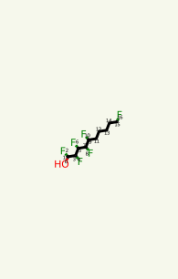 OC(F)C(F)C(F)C(F)C(F)CCCCCF